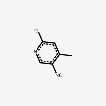 [C-]#[N+]c1cnc(Cl)cc1C